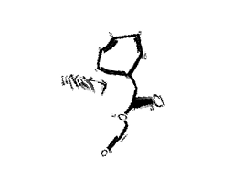 O=COC(Cl)c1ccccc1.[NaH]